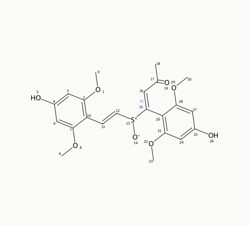 COc1cc(O)cc(OC)c1C=C[S+]([O-])/C(=C/C(C)=O)c1c(OC)cc(O)cc1OC